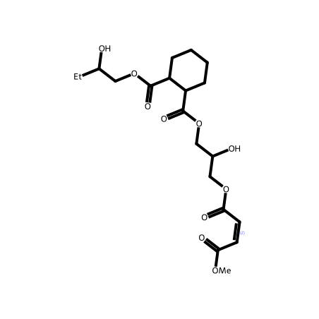 CCC(O)COC(=O)C1CCCCC1C(=O)OCC(O)COC(=O)/C=C\C(=O)OC